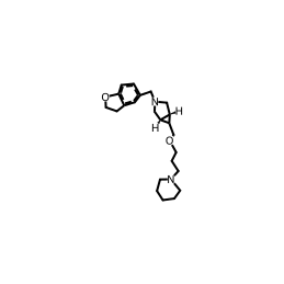 c1cc2c(cc1CN1C[C@@H]3C(COCCCN4CCCCC4)[C@@H]3C1)CCO2